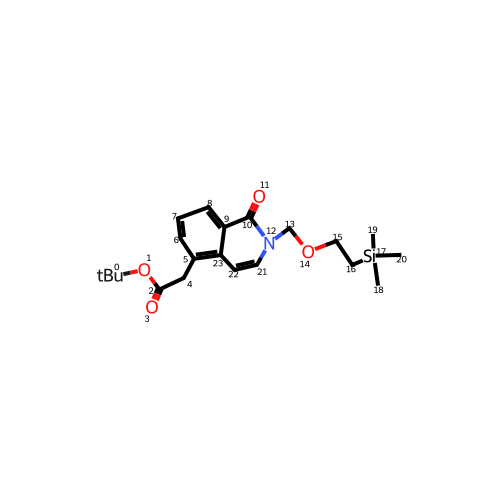 CC(C)(C)OC(=O)Cc1cccc2c(=O)n(COCC[Si](C)(C)C)ccc12